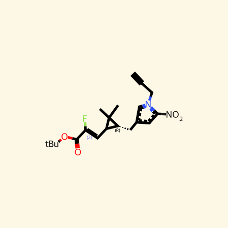 C#CCn1cc(C[C@@H]2C(/C=C(\F)C(=O)OC(C)(C)C)C2(C)C)cc1[N+](=O)[O-]